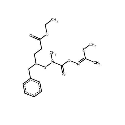 CCOC(=O)CCN(Cc1ccccc1)SN(C)C(=O)ON=C(C)SC